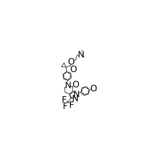 COc1ccc(-n2nc(C(F)(F)F)c3c2C(=O)N(c2ccc(C4(C(=O)OCCN(C)C)CC4)cc2)CC3)cc1